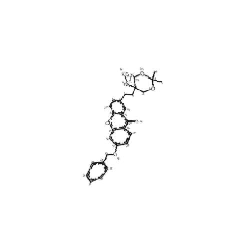 CC1(C)OCC(CCc2ccc3sc4cc(OCc5ccccc5)ccc4c(=O)c3c2)(NC(=O)O)CO1